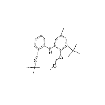 COCOc1c(Pc2ccccc2/C=N/C(C)(C)C)cc(C)cc1C(C)(C)C